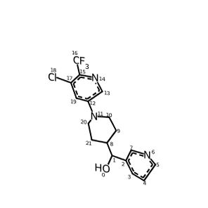 OC(c1cccnc1)C1CCN(c2cnc(C(F)(F)F)c(Cl)c2)CC1